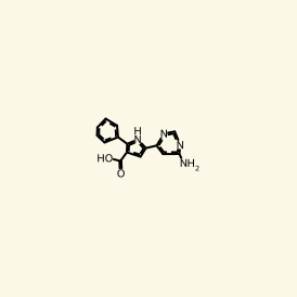 Nc1cc(-c2cc(C(=O)O)c(-c3ccccc3)[nH]2)ncn1